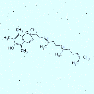 CC(C)=CCC/C(C)=C/CC/C(C)=C/CCC1(C)C=Cc2c(C)c(O)c(C)c(C)c2O1